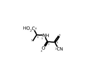 C=C(C#N)C(=O)NC(C)C(=O)O